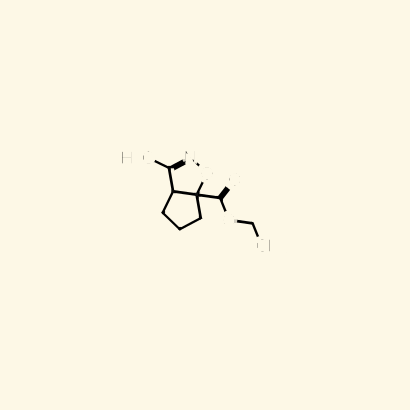 CCOC(=O)C12CCCC1C(C)=NO2